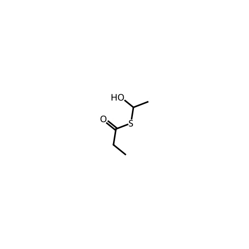 CCC(=O)SC(C)O